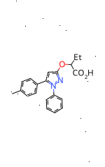 CCC(Oc1cc(-c2ccc(C)cc2)n(-c2ccccc2)n1)C(=O)O